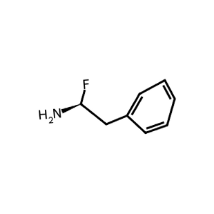 N[C@@H](F)Cc1ccccc1